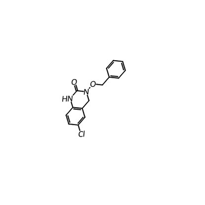 O=C1Nc2ccc(Cl)cc2CN1OCc1ccccc1